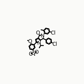 COc1ccc(S(C)(=O)=O)cc1-c1cc2c(n1C(C)C)C(c1ccc(Cl)cc1)N(c1cc(Cl)ccc1C)C2=O